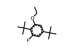 CCOc1cc(C(C)(C)C)cc(F)c1C(C)(C)C